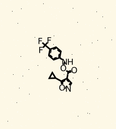 O=C(ONc1ccc(C(F)(F)F)cc1)c1cnoc1C1CC1